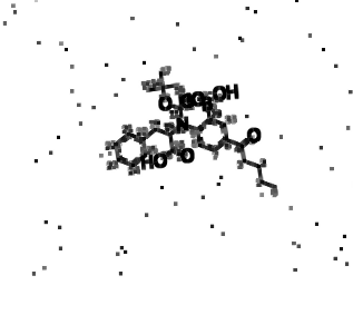 CCCCC(=O)c1ccc(N(C(=O)OC(C)(C)C)C(Cc2ccccc2)C(=O)O)c(B(O)O)c1